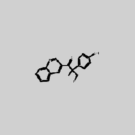 CC(CF)(C(=O)c1cnc2ccccc2c1)c1ccc(O)cc1